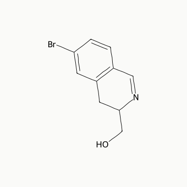 OCC1Cc2cc(Br)ccc2C=N1